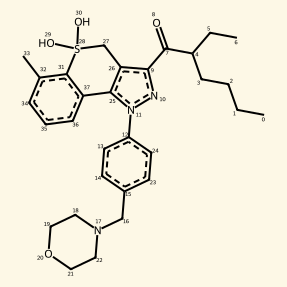 CCCCC(CC)C(=O)c1nn(-c2ccc(CN3CCOCC3)cc2)c2c1CS(O)(O)c1c(C)cccc1-2